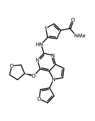 CNC(=O)c1csc(Nc2nc(O[C@H]3CCOC3)c3c(ccn3-c3ccoc3)n2)c1